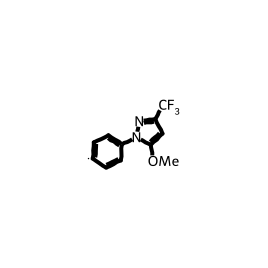 COc1cc(C(F)(F)F)nn1-c1cc[c]cc1